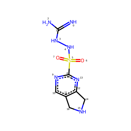 N=C(N)NNS(=O)(=O)c1ncc2c(n1)CNC2